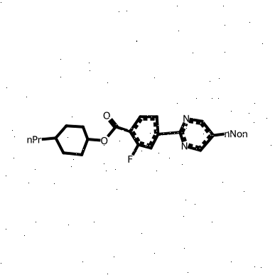 CCCCCCCCCc1cnc(-c2ccc(C(=O)OC3CCC(CCC)CC3)c(F)c2)nc1